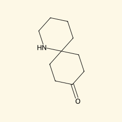 O=C1CCC2(CCCCN2)CC1